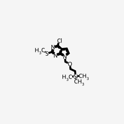 CSc1nc(Cl)c2ccn(COCC[Si](C)(C)C)c2n1